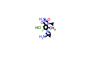 Cc1c(N2CC3CC3(CN)C2)c(F)cc2c(=O)n(N)c(=O)n(C3CC3)c12.Cl